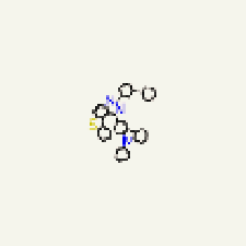 c1ccc(-c2cccc(-c3nc(-c4ccc5c(c4)c4ccccc4n5-c4ccccc4)c4c(ccc5sc6ccccc6c54)n3)c2)cc1